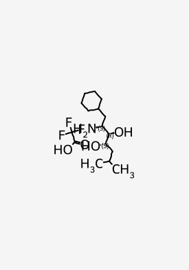 CC(C)C[C@H](O)[C@H](O)[C@@H](N)CC1CCCCC1.O=C(O)C(F)(F)F